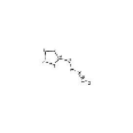 C=CCC[C]1CCCC1